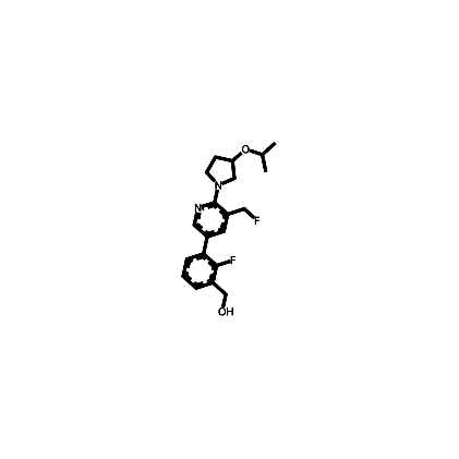 CC(C)OC1CCN(c2ncc(-c3cccc(CO)c3F)cc2CF)C1